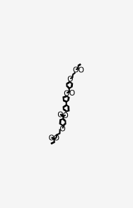 C=CC(=O)OCCCOc1ccc(C(=O)Oc2ccc(-c3ccc(OC(=O)c4ccc(OCCCOC(=O)C=C)cc4)cc3)cc2)cc1